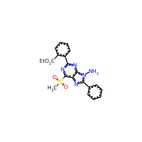 CCOC(=O)c1ccccc1-c1nc(S(C)(=O)=O)c2nc(-c3ccccc3)n(N)c2n1